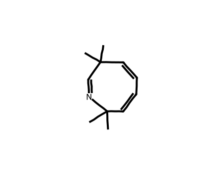 CC1(C)/C=C\C=C/C(C)(C)/N=C\1